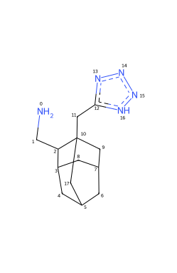 NCC1C2CC3CC(C2)CC1(Cc1nnn[nH]1)C3